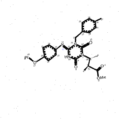 COC(=O)[C@@H](C)[C@@H](C)n1c(=O)[nH]/c(=N\c2ccc(OC(C)C)cc2)n(Cc2ccc(C)cc2)c1=O